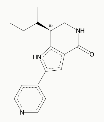 CCC(C)[C@H]1CNC(=O)c2cc(-c3ccncc3)[nH]c21